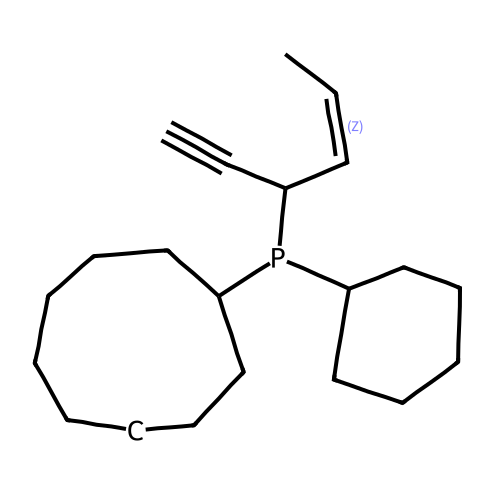 C#CC(/C=C\C)P(C1CCCCCCCC1)C1CCCCC1